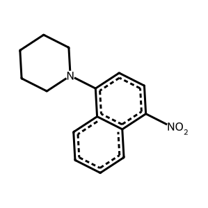 O=[N+]([O-])c1ccc(N2CCCCC2)c2ccccc12